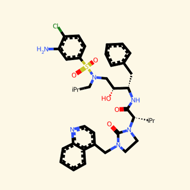 CC(C)CN(C[C@@H](O)[C@H](Cc1ccccc1)NC(=O)[C@H](C(C)C)N1CCN(Cc2ccnc3ccccc23)C1=O)S(=O)(=O)c1ccc(Cl)c(N)c1